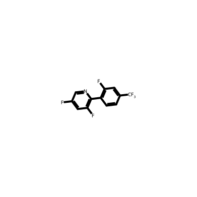 Fc1cnc(-c2ccc(C(F)(F)F)[c]c2F)c(F)c1